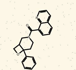 O=C(c1cccc2cccnc12)N1CCC2(c3ccccc3)OCC2C1